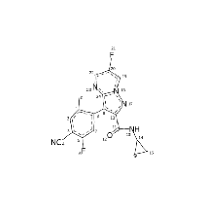 Cc1cc(C#N)c(F)cc1-c1c(C(=O)NC2CC2)nn2cc(F)cnc12